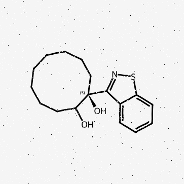 O[C]1CCCCCCCC[C@]1(O)c1nsc2ccccc12